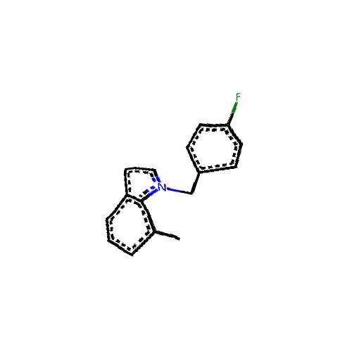 Cc1cccc2ccn(Cc3ccc(F)cc3)c12